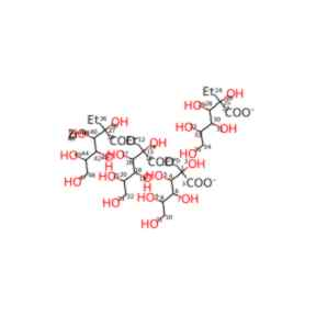 CCC(O)(C(=O)[O-])C(O)C(O)C(O)CO.CCC(O)(C(=O)[O-])C(O)C(O)C(O)CO.CCC(O)(C(=O)[O-])C(O)C(O)C(O)CO.CCC(O)(C(=O)[O-])C(O)C(O)C(O)CO.[Zr+4]